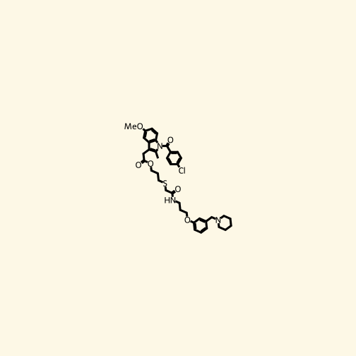 COc1ccc2c(c1)c(CC(=O)OCCCSCC(=O)NCCCOc1cccc(CN3CCCCC3)c1)c(C)n2C(=O)c1ccc(Cl)cc1